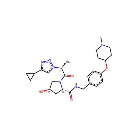 CN1CCC(Oc2ccc(CNC(=O)[C@@H]3C[C@@H](O)CN3C(=O)[C@@H](n3cc(C4CC4)nn3)C(C)(C)C)cc2)CC1